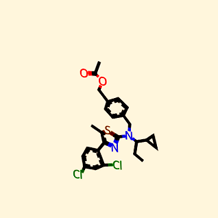 CCC(C1CC1)N(Cc1ccc(COC(C)=O)cc1)c1nc(-c2ccc(Cl)cc2Cl)c(C)s1